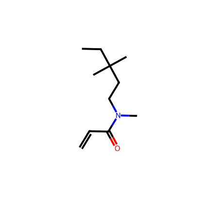 C=CC(=O)N(C)CCC(C)(C)CC